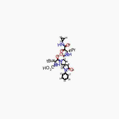 CCC[C@H](NC(=O)[C@@H]1C[C@]2(CC(=O)N(c3ccccc3)C2)CN1C(=O)[C@@H](NC(=O)O)C(C)(C)C)C(=O)C(=O)NC1CC1